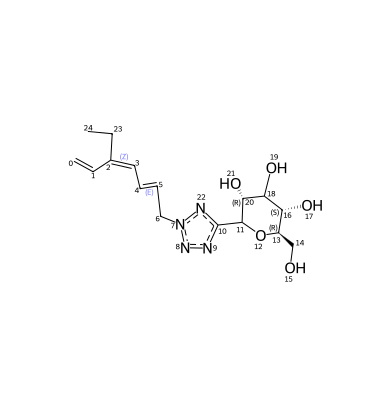 C=C/C(=C\C=C\Cn1nnc(C2O[C@H](CO)[C@@H](O)C(O)[C@H]2O)n1)CC